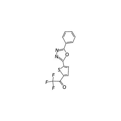 O=C(c1ccc(-c2nnc(-c3ccccc3)o2)s1)C(F)(F)F